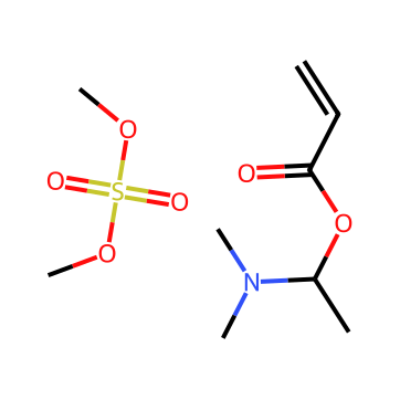 C=CC(=O)OC(C)N(C)C.COS(=O)(=O)OC